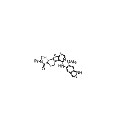 COc1cc2[nH]ncc2cc1Nc1ncnc2sc3c(c12)CC[C@H](C(=O)N(C)C(C)C)C3